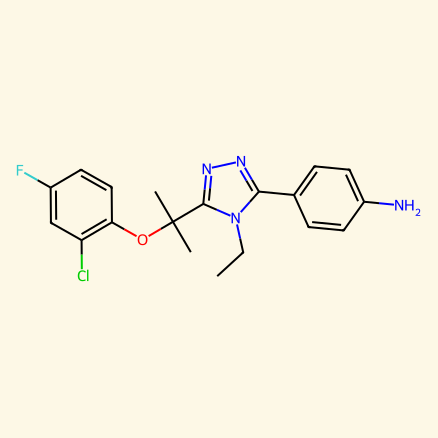 CCn1c(-c2ccc(N)cc2)nnc1C(C)(C)Oc1ccc(F)cc1Cl